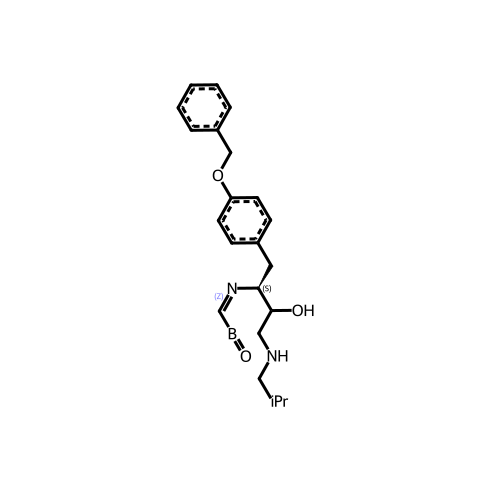 CC(C)CNCC(O)[C@H](Cc1ccc(OCc2ccccc2)cc1)/N=C\B=O